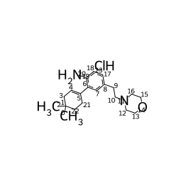 CC1(C)CC=C(c2cc(CCN3CCOCC3)ccc2N)CC1.Cl